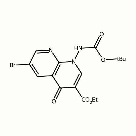 CCOC(=O)c1cn(NC(=O)OC(C)(C)C)c2ncc(Br)cc2c1=O